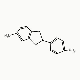 Nc1ccc(C2Cc3ccc(N)cc3C2)cc1